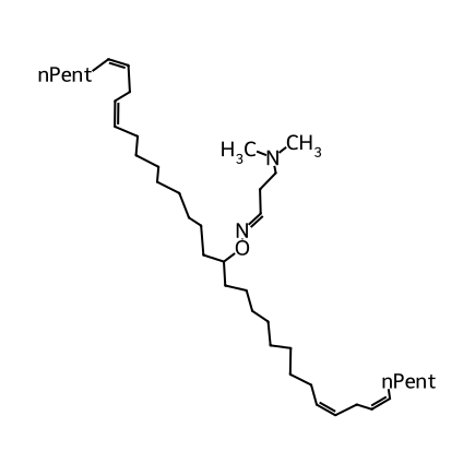 CCCCC/C=C\C/C=C\CCCCCCCCC(CCCCCCCC/C=C\C/C=C\CCCCC)ON=CCCN(C)C